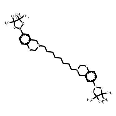 CC1(C)OB(c2ccc3c(c2)CN(CCCCCCCCN2COc4ccc(B5OC(C)(C)C(C)(C)O5)cc4C2)CO3)OC1(C)C